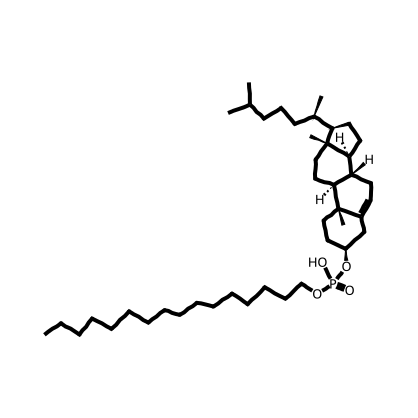 CCCCCCCCCCCCCCCCOP(=O)(O)O[C@H]1CC[C@@]2(C)C(=CC[C@H]3[C@@H]4CC[C@H]([C@H](C)CCCC(C)C)[C@@]4(C)CC[C@@H]32)C1